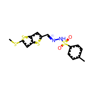 CSc1cc2sc(/C=N/NS(=O)(=O)c3ccc(C)cc3)cc2s1